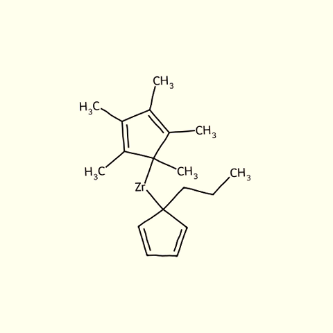 CCC[C]1([Zr][C]2(C)C(C)=C(C)C(C)=C2C)C=CC=C1